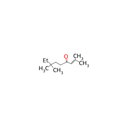 CCC(C)(C)CCC(=O)C=C(C)C